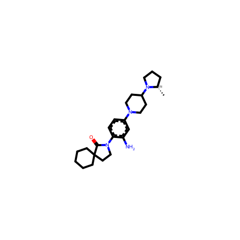 C[C@H]1CCCN1C1CCN(c2ccc(N3CCC4(CCCCC4)C3=O)c(N)c2)CC1